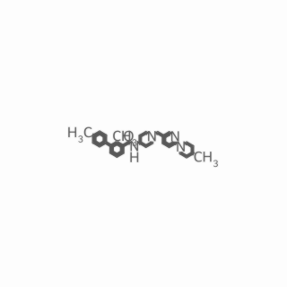 Cc1ccc(-c2cccc(C(=O)NC3CCN(Cc4ccc(N5CCC(C)CC5)nc4)CC3)c2C)cc1